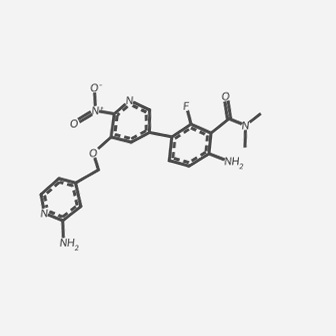 CN(C)C(=O)c1c(N)ccc(-c2cnc([N+](=O)[O-])c(OCc3ccnc(N)c3)c2)c1F